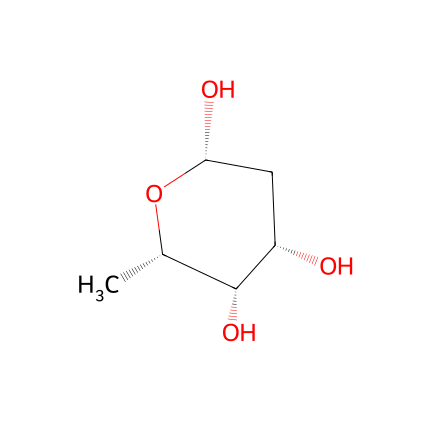 C[C@@H]1O[C@H](O)C[C@H](O)[C@@H]1O